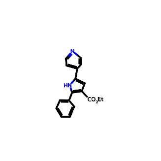 CCOC(=O)c1cc(-c2ccncc2)[nH]c1-c1ccccc1